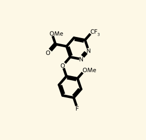 COC(=O)c1cc(C(F)(F)F)nnc1Oc1ccc(F)cc1OC